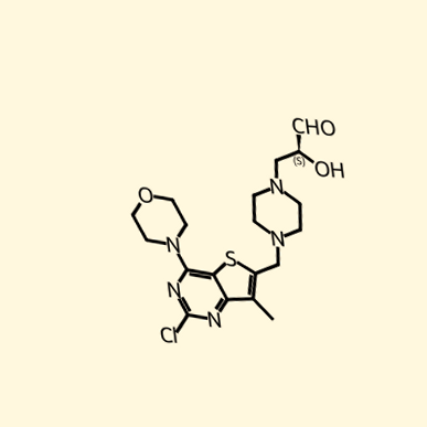 Cc1c(CN2CCN(C[C@H](O)C=O)CC2)sc2c(N3CCOCC3)nc(Cl)nc12